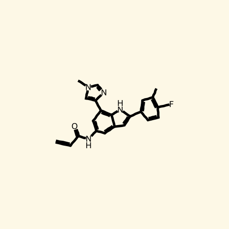 C=CC(=O)Nc1cc(-c2cn(C)cn2)c2[nH]c(-c3ccc(F)c(C)c3)cc2c1